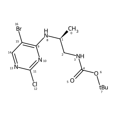 C[C@@H](CNC(=O)OC(C)(C)C)Nc1nc(Cl)ncc1Br